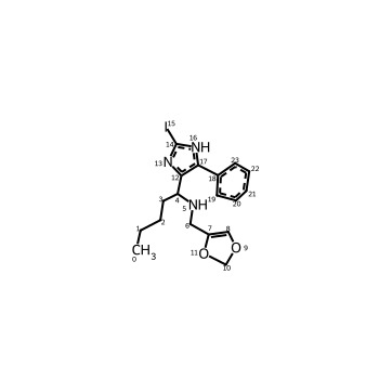 CCCCC(NCC1=COCO1)c1nc(I)[nH]c1-c1ccccc1